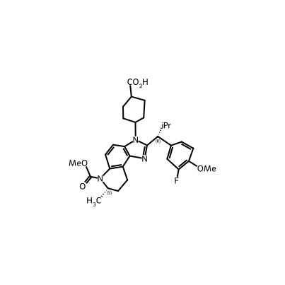 COC(=O)N1c2ccc3c(nc([C@@H](c4ccc(OC)c(F)c4)C(C)C)n3C3CCC(C(=O)O)CC3)c2CC[C@@H]1C